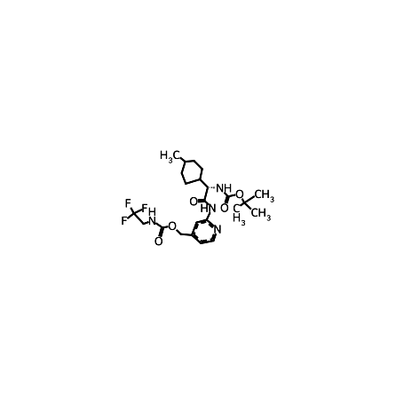 CC1CCC([C@H](NC(=O)OC(C)(C)C)C(=O)Nc2cc(COC(=O)NCC(F)(F)F)ccn2)CC1